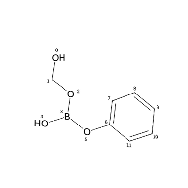 OCOB(O)Oc1ccccc1